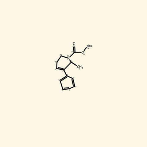 CC1C(c2ccccc2)=CCCN1C(=O)OC(C)(C)C